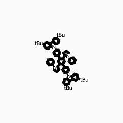 CC(C)(C)c1ccc2c(c1)c1cc(C(C)(C)C)ccc1n2-c1ccc(-c2cc(-c3cccn3-c3ccccc3)c(-c3ccc(-n4c5ccc(C(C)(C)C)cc5c5cc(C(C)(C)C)ccc54)cc3)cc2-c2cccn2-c2ccccc2)cc1